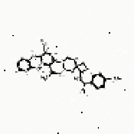 COc1ccc([C@@H](C)N[C@@H]2CCC23CCN(c2nc(N)c(Sc4cccnc4C(F)(F)F)nc2C(N)=O)CC3)cc1